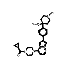 COC1(c2ccc(-c3cc4c(N5CCN(C(=O)C6CC6)CC5)ccnn4c3)cc2)CCN(C(C)C)CC1